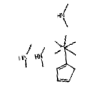 CNC.CNC.CNC.[CH3][Ti]([CH3])([CH3])([CH3])([CH3])[C]1=CC=CC1